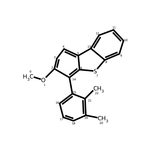 COc1ccc2c(sc3ccccc32)c1-c1cccc(C)c1C